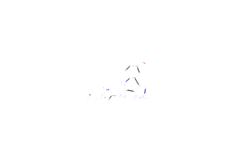 CC(C)(O)Cn1cc(Nc2nc3ccc(S(C)(=O)=O)cc3c3cn[nH]c23)cn1